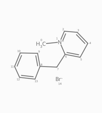 C[n+]1ccccc1Cc1ccccc1.[Br-]